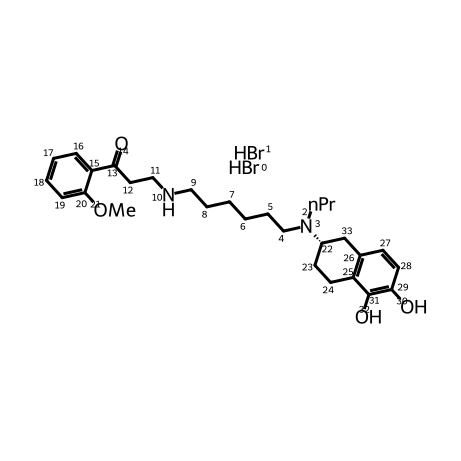 Br.Br.CCCN(CCCCCCNCCC(=O)c1ccccc1OC)[C@H]1CCc2c(ccc(O)c2O)C1